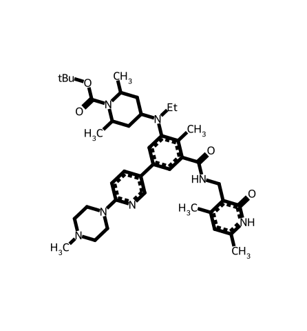 CCN(c1cc(-c2ccc(N3CCN(C)CC3)nc2)cc(C(=O)NCc2c(C)cc(C)[nH]c2=O)c1C)C1CC(C)N(C(=O)OC(C)(C)C)C(C)C1